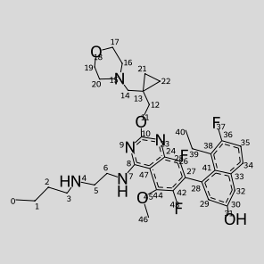 CCCCNCCNc1nc(OCC2(CN3CCOCC3)CC2)nc2c(F)c(-c3cc(O)cc4ccc(F)c(CC)c34)c(F)c(OC)c12